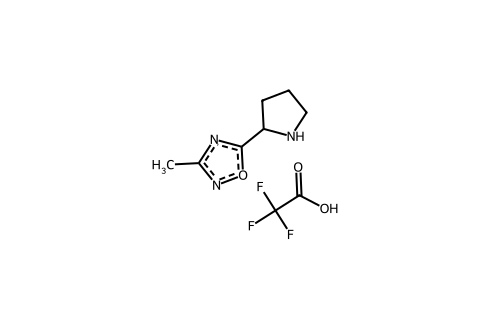 Cc1noc(C2CCCN2)n1.O=C(O)C(F)(F)F